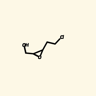 OCC1OC1CCCl